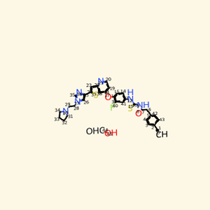 C#Cc1ccc(CC(=O)NC(=S)Nc2ccc(Oc3ccnc4cc(-c5cn(CCN6CCCC6)cn5)sc34)c(F)c2)cc1.O=CO